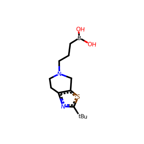 CC(C)(C)c1nc2c(s1)CN(CCCB(O)O)CC2